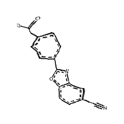 N#Cc1ccc2oc(-c3ccc(C(=O)Cl)cc3)nc2c1